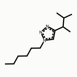 CCCCCCn1cc(C(C)C(C)C)nn1